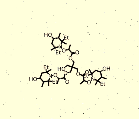 CCC1(C)CC(O)C(C)C(C)(CC)N1OC(C)C(=O)OCC(CO)(COC(=O)C(C)ON1C(C)(CC)CC(O)C(C)C1(C)CC)COC(=O)C(C)ON1C(C)(CC)C(C)C(O)C[C@@]1(C)CC